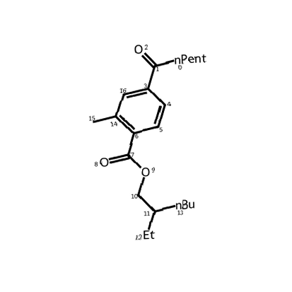 CCCCCC(=O)c1ccc(C(=O)OCC(CC)CCCC)c(C)c1